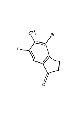 Cc1c(F)cc2c(c1Br)CCC2=O